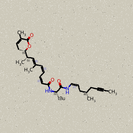 CC#CC[C@H](C)C/C=C\NC(=O)[C@@H](NC(=O)\C=C/C=C\C(C)=C\[C@H](C)[C@@H]1CC=C(C)C(=O)O1)C(C)(C)C